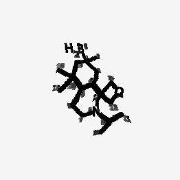 BC1(C)CC2C(CCN(C(C)C)C23COC3)C(C)(C)C1